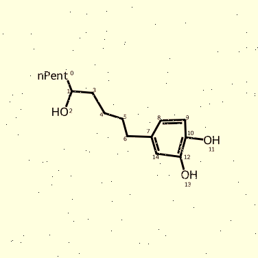 CCCCCC(O)CCCCc1ccc(O)c(O)c1